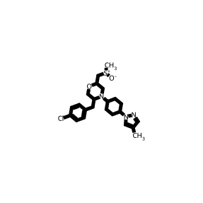 Cc1cnn(C2CCC(N3CC(C[S+](C)[O-])OCC3Cc3ccc(Cl)cc3)CC2)c1